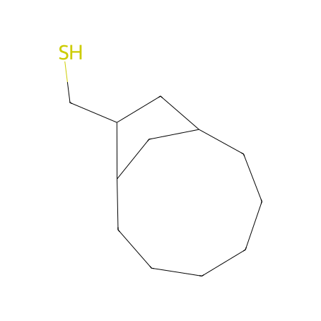 SCC1CC2CCCCCCC1C2